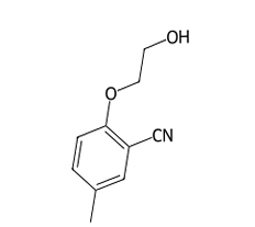 Cc1ccc(OCCO)c(C#N)c1